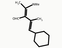 CN/C(C)=C(C=O)\C(C)=C\C1CCCCC1